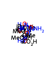 COc1cccc(OC)c1-c1cc(C(=O)NC2(C(=O)O)C3CC4CC(C3)CC2C4)nn1-c1ccc(C(=O)N(C)CCCN(C)CCCC(C)C(CCCN)C(=O)CN(C)CCCN(C)CCCN(C)C(=O)c2ccc(-n3nc(C(=O)NC4(C(=O)O)C5CC6CC(C5)CC4C6)cc3-c3c(OC)cccc3OC)c(C(C)C)c2)cc1C(C)C